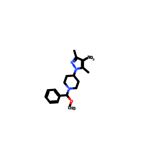 Cc1nn(C2CCN(C(OC=O)c3ccccc3)CC2)c(C)c1[N+](=O)[O-]